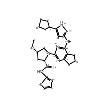 CO[C@@H]1C[C@@H](C(=O)Nc2nccs2)N(c2nc3c(c(Nc4cc(C5CCCC5)[nH]n4)n2)CCC3)C1